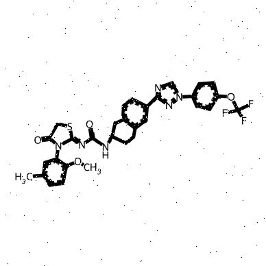 COc1ccc(C)cc1N1C(=O)CSC1=NC(=O)NC1CCc2cc(-c3ncn(-c4ccc(OC(F)(F)F)cc4)n3)ccc2C1